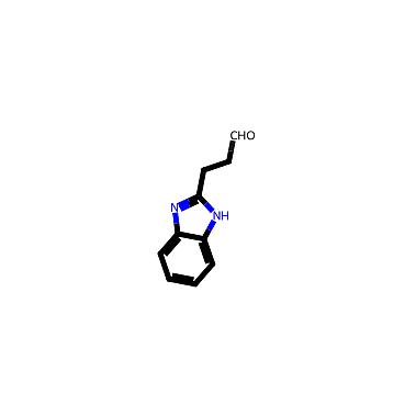 O=CCCc1nc2ccccc2[nH]1